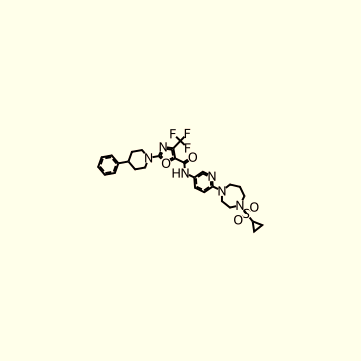 O=C(Nc1ccc(N2CCCN(S(=O)(=O)C3CC3)CC2)nc1)c1oc(N2CCC(c3ccccc3)CC2)nc1C(F)(F)F